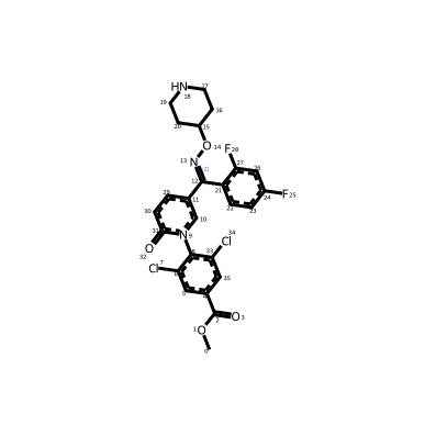 COC(=O)c1cc(Cl)c(-n2cc(/C(=N/OC3CCNCC3)c3ccc(F)cc3F)ccc2=O)c(Cl)c1